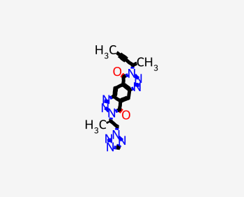 CC#CC(C)n1nnc2cc3c(=O)n([C@H](C)Cn4ncnn4)nnc3cc2c1=O